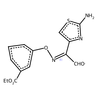 CCOC(=O)c1cccc(O/N=C(/[C]=O)c2csc(N)n2)c1